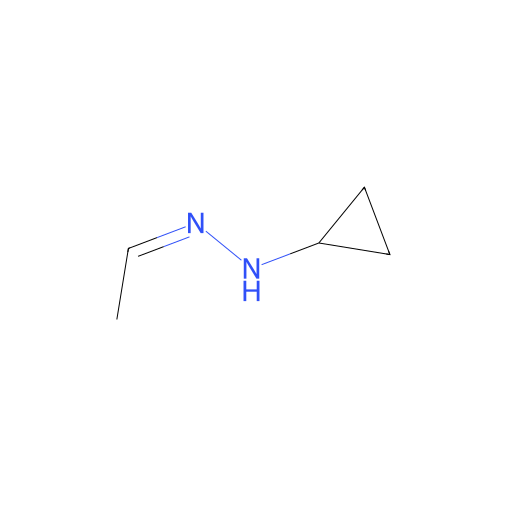 C/C=N\NC1CC1